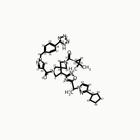 CC(c1nc(C2CN(C(=O)c3cnn(Cc4ccc(-c5nnn[nH]5)cc4)c3)CC23CN(C(=O)[C@H]2CC2(C)C)C3)no1)n1ccc(C2CCCC2)n1